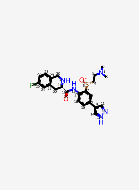 CN(C)CC[S+]([O-])c1cc(-c2cn[nH]c2)ccc1NC(=O)[C@@H]1Cc2cc(F)ccc2CN1